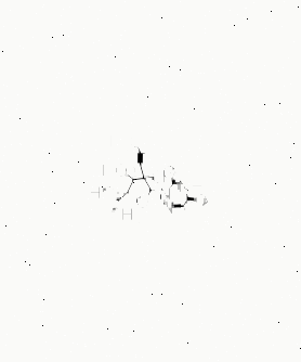 CC#C[C@@]1(Cl)C(O)[C@@H]([C@H](C)O)O[C@H]1n1ncc(=O)[nH]c1=O